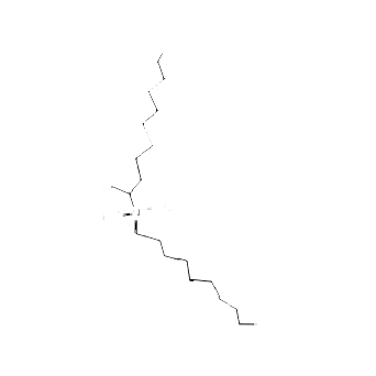 CCCCCCCCCC[N+](C)(C)C(Cl)CCCCCCCCC